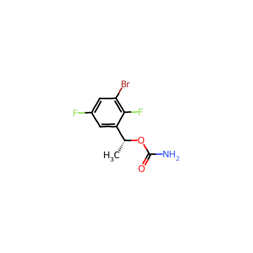 C[C@@H](OC(N)=O)c1cc(F)cc(Br)c1F